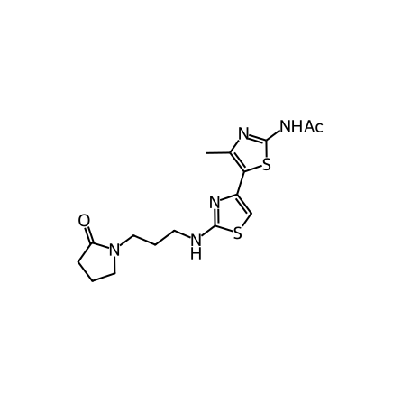 CC(=O)Nc1nc(C)c(-c2csc(NCCCN3CCCC3=O)n2)s1